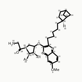 CC[C@@H]1C(Oc2nc3cc(OC)ccc3nc2CCCCC[C@H]2CCC3CC2C3)CN(C(=O)CN)[C@@H]1C(C)=O